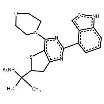 CC(=O)NC(C)(C)C1Cc2nc(-c3cccc4[nH]ncc34)nc(N3CCOCC3)c2S1